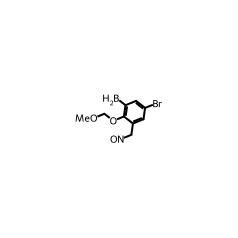 Bc1cc(Br)cc(CN=O)c1OCOC